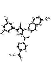 CNC(=O)c1ccc(C(C)n2nc(-c3cc(Cl)cc(Cl)c3)c(C)c2-c2ccc3cc(OC)ccc3c2)cc1